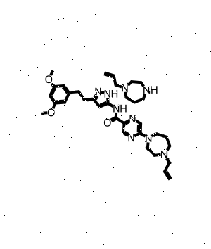 C=CCN1CCCN(c2cnc(C(=O)Nc3cc(CCc4cc(OC)cc(OC)c4)n[nH]3)cn2)CC1.C=CCN1CCCNCC1